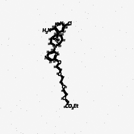 CCOC(=O)COCCOCCOCCOc1cncc(N2CC3CCCC2CN3c2cc(Cl)nnc2N)n1